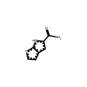 NC(=O)c1cc2ccsc2[nH]1